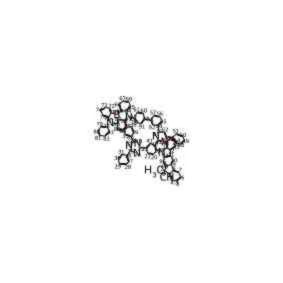 CC1(C)c2ccccc2-c2cc3c4ccccc4n(-c4ccc(-c5nc(-c6ccccc6)nc(-c6ccccc6)n5)cc4-c4nc(-c5ccccc5)cc(-c5cccc(-c6ccc(N7c8ccccc8B8c9ccccc9N(c9ccccc9)c9cccc7c98)cc6)c5)n4)c3cc21